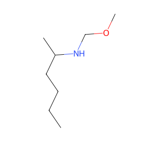 CCCCC(C)NCOC